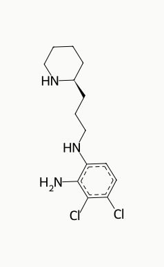 Nc1c(NCCC[C@@H]2CCCCN2)ccc(Cl)c1Cl